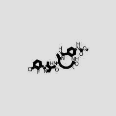 COC(=O)Nc1ccc2c(c1)NC(=O)[C@H](C)CCC[C@H](NC(=O)c1cnn(-c3cccc(Cl)c3F)c1C)c1c[nH]c-2n1